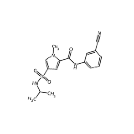 CC(C)NS(=O)(=O)c1cc(C(=O)Nc2cccc(C#N)c2)n(C)c1